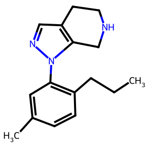 CCCc1ccc(C)cc1-n1ncc2c1CNCC2